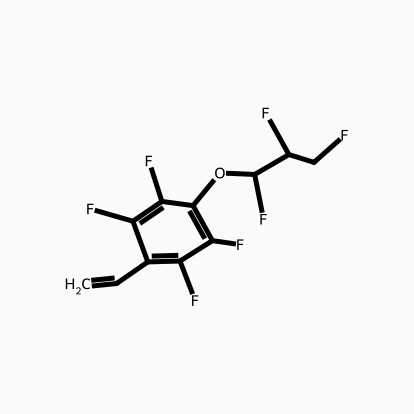 C=Cc1c(F)c(F)c(OC(F)C(F)CF)c(F)c1F